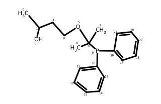 CC(O)CCOC(C)(C)P(c1ccccc1)c1ccccc1